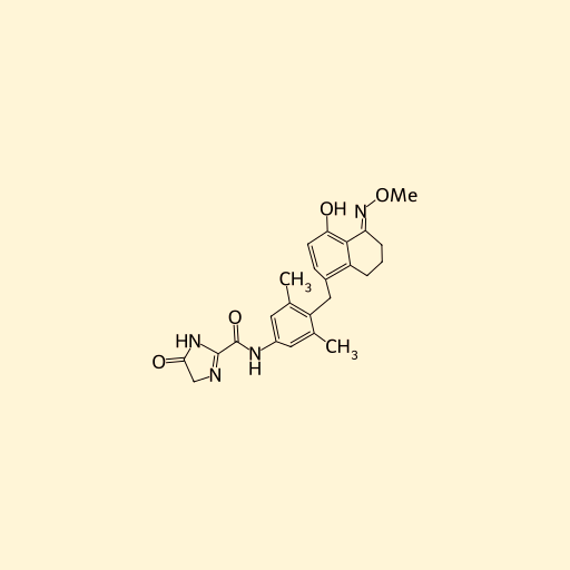 CO/N=C1\CCCc2c(Cc3c(C)cc(NC(=O)C4=NCC(=O)N4)cc3C)ccc(O)c21